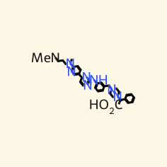 CNCCCN(C)c1ccc(-c2ccnc(Nc3cccc(CN4CCN(C(C(=O)O)c5ccccc5)CC4)c3)n2)cn1